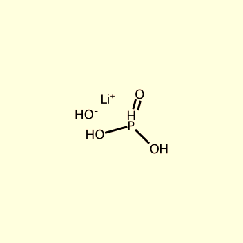 O=[PH](O)O.[Li+].[OH-]